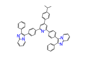 CC(C)c1ccc(-c2cc(-c3ccc(-c4c(-c5ccccc5)nc5ccccn45)cc3)nc(-c3ccc(-c4c(-c5ccccc5)nc5ccccn45)cc3)c2)cc1